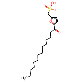 CCCCCCCCCCCCCC(=O)c1ccc(CS(=O)(=O)O)o1